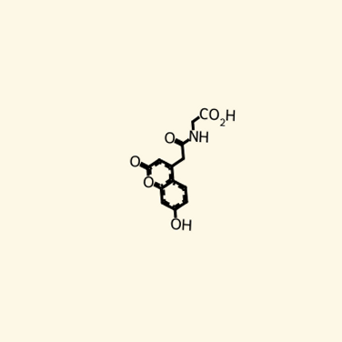 O=C(O)CNC(=O)Cc1cc(=O)oc2cc(O)ccc12